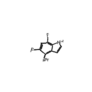 CC(C)c1c(F)cc(F)c2[nH]ccc12